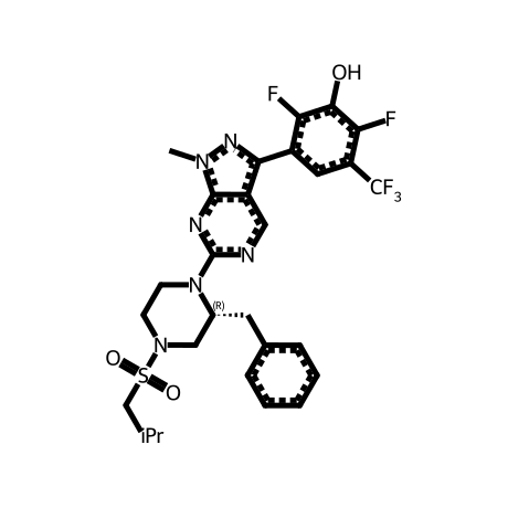 CC(C)CS(=O)(=O)N1CCN(c2ncc3c(-c4cc(C(F)(F)F)c(F)c(O)c4F)nn(C)c3n2)[C@H](Cc2ccccc2)C1